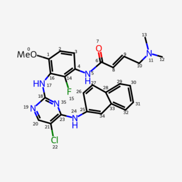 COc1ccc(NC(=O)/C=C/CN(C)C)c(F)c1Nc1ncc(Cl)c(Nc2ccc3ccccc3c2)n1